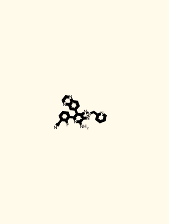 N#Cc1cccc(-c2nc(N)c3nn(Cc4ccccn4)nc3c2-c2ccc3nccnc3c2)c1F